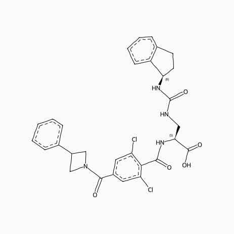 O=C(NC[C@H](NC(=O)c1c(Cl)cc(C(=O)N2CC(c3ccccc3)C2)cc1Cl)C(=O)O)N[C@@H]1CCc2ccccc21